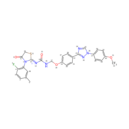 Cc1ccc(F)c(N2C(=O)CS/C2=N\C(=O)NCOc2ccc(-c3ncn(-c4ccc(OC(F)(F)F)cc4)n3)cc2)c1